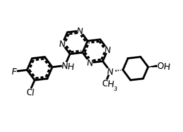 CN(c1ncc2ncnc(Nc3ccc(F)c(Cl)c3)c2n1)[C@H]1CC[C@H](O)CC1